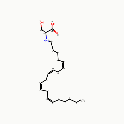 CCCCC/C=C\C/C=C\C/C=C\C/C=C\CCCCN[C@@H](CO)C(=O)O